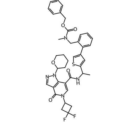 CC(NC(=O)c1cn(C2CC(F)(F)C2)c(=O)c2cnn(C3CCCCO3)c12)c1cc(-c2ccccc2CN(C)C(=O)OCc2ccccc2)cs1